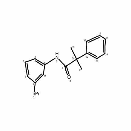 CCCc1cccc(NC(=O)C(C)(C)c2ccccc2)c1